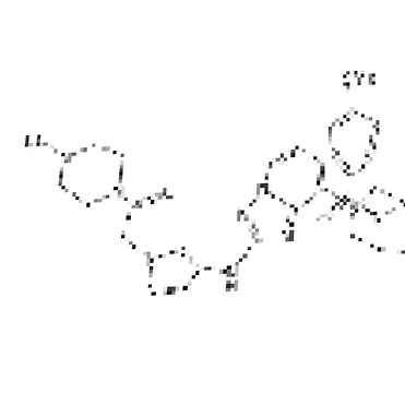 CSc1ccc(C(=O)N2C3CCC2CN(c2cccn4nc(Nc5cnn(CC(=O)N6CCN(C)CC6)c5)nc24)C3)cc1